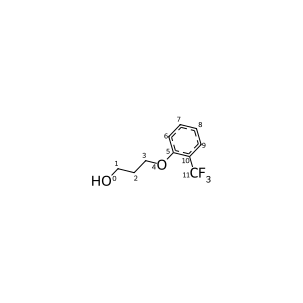 OCCCOc1ccccc1C(F)(F)F